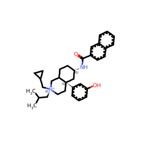 CC(C)C[N@+]1(CC2CC2)CC[C@]2(c3cccc(O)c3)C[C@@H](NC(=O)c3ccc4ccccc4c3)CCC2C1